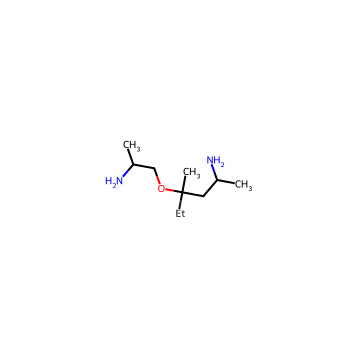 CCC(C)(CC(C)N)OCC(C)N